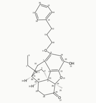 CCN1CC[C@]23c4c5c(OCCCc6ccccc6)cc(O)c4O[C@@]2(C)C(=O)CC[C@H]3[C@H]1C5